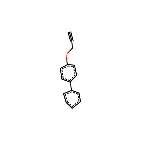 C#CCOc1ccc(-c2cc[c]cc2)cc1